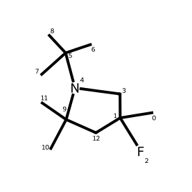 CC1(F)CN(C(C)(C)C)C(C)(C)C1